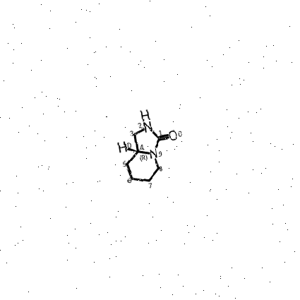 O=C1NC[C@H]2CCCCN12